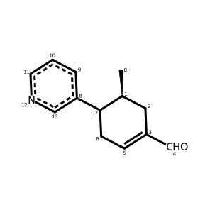 C[C@H]1CC(C=O)=CCC1c1cccnc1